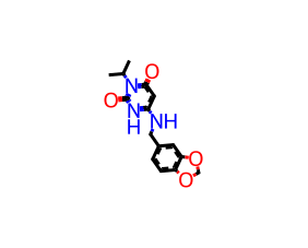 CC(C)n1c(=O)cc(NCc2ccc3c(c2)OCO3)[nH]c1=O